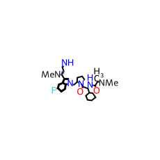 CN/C(=C\C=N)c1cn(CC2CCCN2C(=O)C(NC(=O)C(C)NC)C2CCCCC2)c2ccc(F)cc12